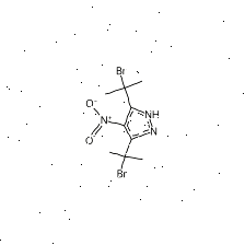 CC(C)(Br)c1n[nH]c(C(C)(C)Br)c1[N+](=O)[O-]